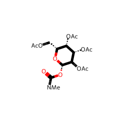 CNC(=O)O[C@@H]1O[C@H](COC(C)=O)[C@H](OC(C)=O)[C@H](OC(C)=O)C1OC(C)=O